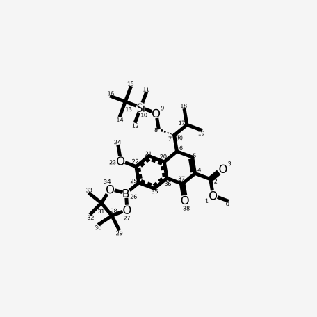 COC(=O)C1=CC([C@H](CO[Si](C)(C)C(C)(C)C)C(C)C)c2cc(OC)c(B3OC(C)(C)C(C)(C)O3)cc2C1=O